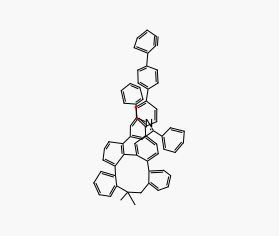 CC1(C)Cc2ccccc2-c2ccc(-c3ccc(-c4ccc(-c5c#cccc5)cc4)cc3)cc2-c2c(-c3cc(-c4ccccc4)nc(-c4ccccc4)c3)cccc2-c2ccccc21